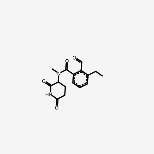 CCc1cccc(C(=O)N(C)C2CCC(=O)NC2=O)c1C=O